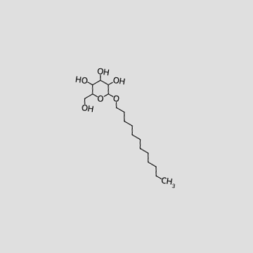 CCCCCCCCCCCCOC1OC(CO)C(O)C(O)C1O